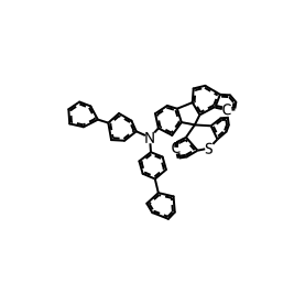 c1ccc(-c2ccc(N(c3ccc(-c4ccccc4)cc3)c3ccc4c(c3)C3(c5ccccc5Sc5ccccc53)c3c-4ccc4ccccc34)cc2)cc1